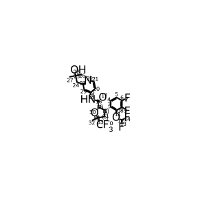 C[C@H]1[C@@H](c2ccc(F)c(F)c2OC(F)F)[C@H](C(=O)Nc2ccnc(CC(C)(C)O)c2)O[C@@]1(C)C(F)(F)F